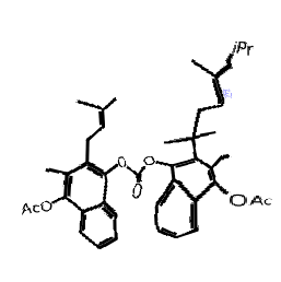 CC(=O)Oc1c(C)c(CC=C(C)C)c(OC(=O)Oc2c(C(C)(C)C/C=C(\C)CC(C)C)c(C)c(OC(C)=O)c3ccccc23)c2ccccc12